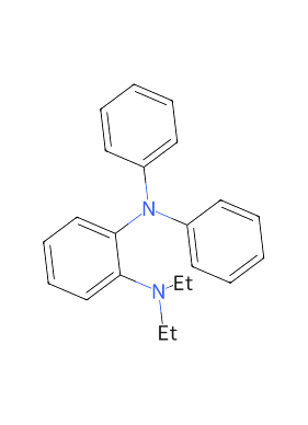 CCN(CC)c1ccccc1N(c1ccccc1)c1ccccc1